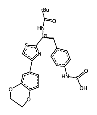 CC(C)(C)C(=O)N[C@@H](Cc1ccc(NS(=O)O)cc1)c1nc(-c2ccc3c(c2)OCCO3)cs1